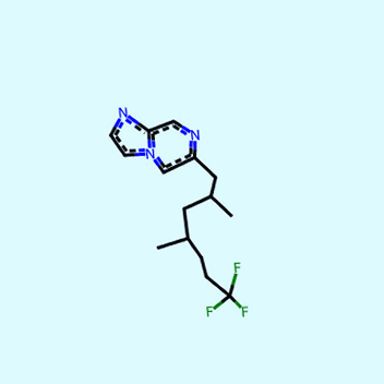 CC(CCC(F)(F)F)CC(C)Cc1cn2ccnc2cn1